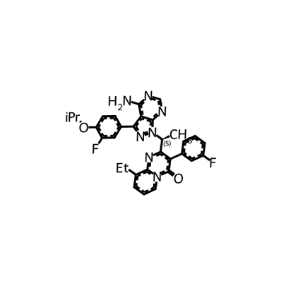 CCc1cccn2c(=O)c(-c3cccc(F)c3)c([C@H](C)n3nc(-c4ccc(OC(C)C)c(F)c4)c4c(N)ncnc43)nc12